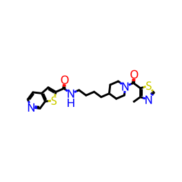 Cc1ncsc1C(=O)N1CCC(CCCCNC(=O)c2cc3ccncc3s2)CC1